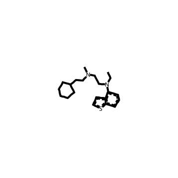 CCN(CCN(C)CCC1CCCCC1)c1cccc2sccc12